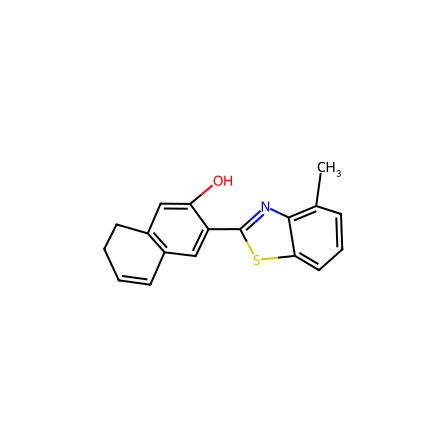 Cc1cccc2sc(-c3cc4c(cc3O)CCC=C4)nc12